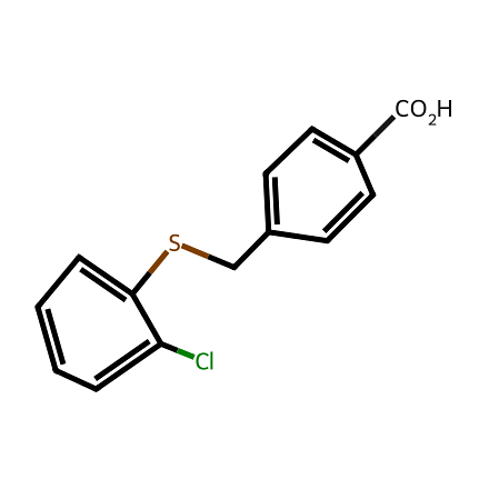 O=C(O)c1ccc(CSc2ccccc2Cl)cc1